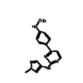 Cn1cc(Nc2nccc(-c3ccc(NC=O)cc3)n2)cn1